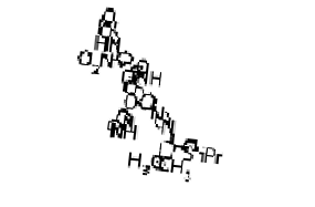 CC(C)c1ccc(C2=C(CN3CCN(c4ccc(C(=O)NS(=O)(=O)c5ccc(NCC6COCCO6)c([N+](=O)[O-])c5)c(Oc5cnc6[nH]ccc6c5)c4)CC3)CCC(C)(C)C2)s1